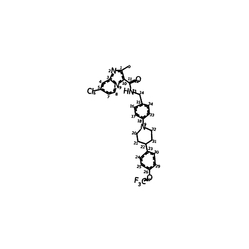 Cc1nc2cc(Cl)ccn2c1C(=O)NCc1ccc(N2CCC(c3ccc(OC(F)(F)F)cc3)CC2)cc1